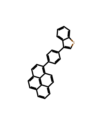 c1cc2ccc3ccc(-c4ccc(-c5csc6ccccc56)cc4)c4ccc(c1)c2c34